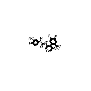 CN(C(=O)Nc1ccc(F)c(C#N)c1)[C@@H]1COCc2[nH]c(=O)c3cc(F)c(F)cc3c21